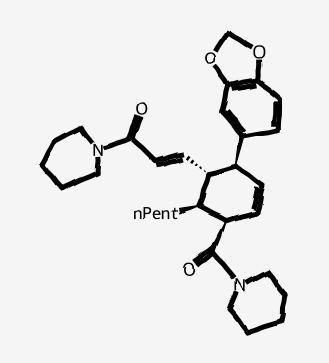 CCCCC[C@H]1[C@H](/C=C/C(=O)N2CCCCC2)[C@@H](c2ccc3c(c2)OCO3)C=C[C@H]1C(=O)N1CCCCC1